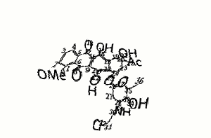 COc1cccc2c1C(=O)c1c(O)c3c(c(O)c1C2=O)C[C@@](O)(C(C)=O)C[C@@H]3OC1CC(NCCCl)C(O)C(C)O1